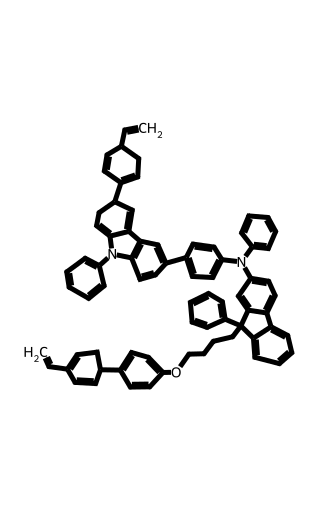 C=CC1=CCC(c2ccc(OCCCCC3(c4ccccc4)c4ccccc4-c4ccc(N(c5ccccc5)c5ccc(-c6ccc7c(c6)c6c(n7-c7ccccc7)=CCC(C7=CCC(C=C)C=C7)C=6)cc5)cc43)cc2)C=C1